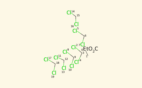 CCOC(C)=O.ClCCl.ClCCl.ClCCl.ClCCl.ClCCl.ClCCl